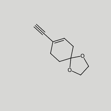 C#CC1=CCC2(CC1)OCCO2